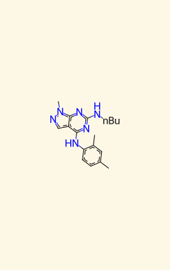 CCCCNc1nc(Nc2ccc(C)cc2C)c2cnn(C)c2n1